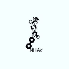 CC(=O)Nc1cccc(-c2ccc(N3CC(N4CCN(C(=O)c5nccs5)CC4)CC3=O)cc2)c1